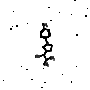 CCCCC(C1CCN(c2ccc(N)cc2)C1)N(C)C